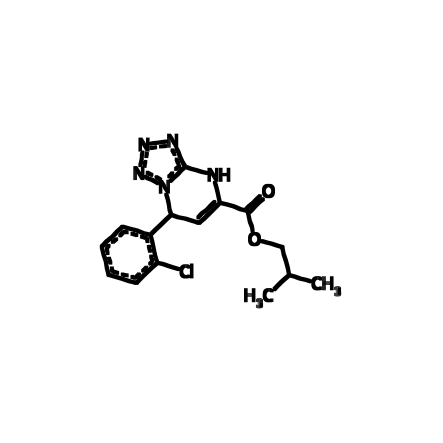 CC(C)COC(=O)C1=CC(c2ccccc2Cl)n2nnnc2N1